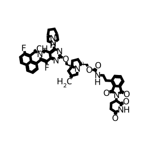 C#Cc1c(F)ccc2cccc(-c3ncc4c(N5CC6CCC(C5)N6)nc(OC[C@@]56CC[C@@H](COC(=O)NCCc7cccc8c7C(=O)N(C7CCC(=O)NC7=O)C8=O)N5CC(=C)C6)nc4c3F)c12